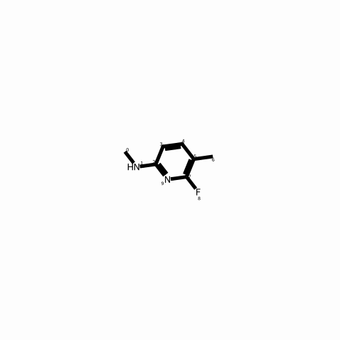 CNc1ccc(C)c(F)n1